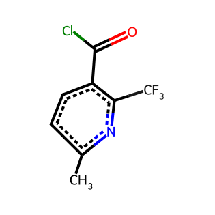 Cc1ccc(C(=O)Cl)c(C(F)(F)F)n1